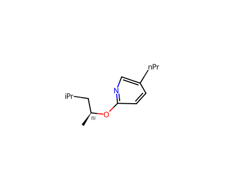 CCCc1ccc(O[C@@H](C)CC(C)C)nc1